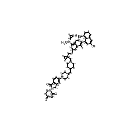 CCc1cccc2cc(O)cc(-c3ncc4c(N(C)C5C[C@H]5F)nc(OCC5(CN6CCC(CN7CCN(c8ccc9c(c8)CN([C@H]8CCC(=O)NC8=O)C9=O)CC7)CC6)CC5)nc4c3F)c12